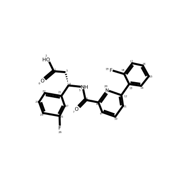 O=C(O)C[C@H](NC(=O)c1cccc(-c2ccccc2F)n1)c1cccc(F)c1